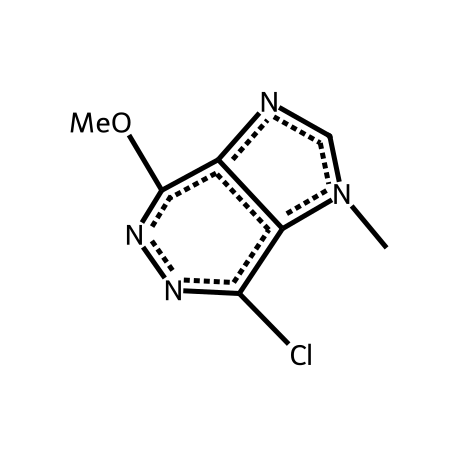 COc1nnc(Cl)c2c1ncn2C